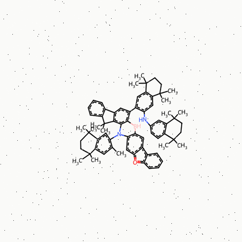 Cc1cc2c(cc1N1c3cc4oc5ccccc5c4cc3Bc3c(-c4cc5c(cc4Nc4ccc6c(c4)C(C)(C)CCC6(C)C)C(C)(C)CCC5(C)C)cc4c(c31)C(C)(C)c1ccccc1-4)C(C)(C)CCC2(C)C